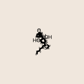 CCCCCCC1(c2cc(O)c([C@@H]3CC(=O)C4CC3C4(C)C)c(O)c2)SCCS1